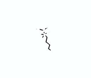 CC(=O)CCCCP(C)(O)(O)N(C(C)C)C(C)C